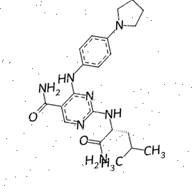 CC(C)C[C@@H](Nc1ncc(C(N)=O)c(Nc2ccc(N3CCCC3)cc2)n1)C(N)=O